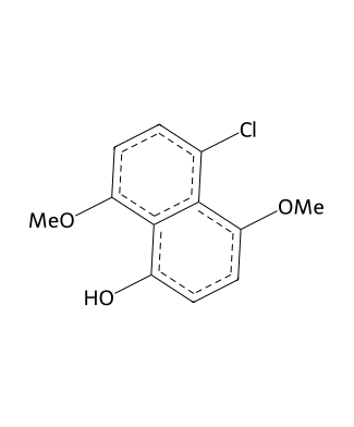 COc1ccc(Cl)c2c(OC)ccc(O)c12